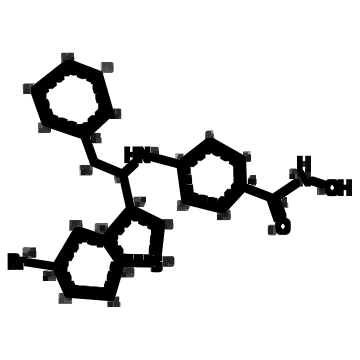 O=C(NO)c1ccc(NC(Cc2ccccc2)c2csc3ccc(Br)cc23)cc1